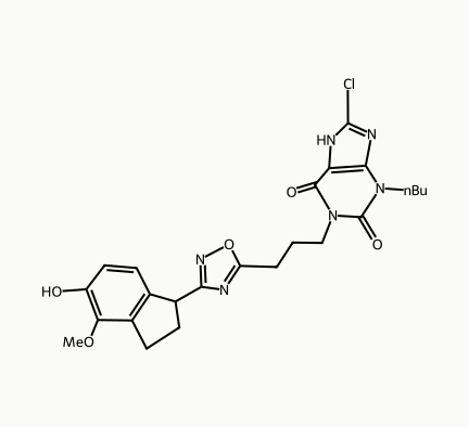 CCCCn1c(=O)n(CCCc2nc(C3CCc4c3ccc(O)c4OC)no2)c(=O)c2[nH]c(Cl)nc21